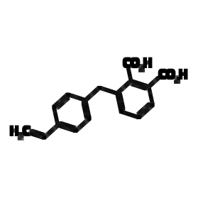 C=Cc1ccc(Cc2cccc(C(=O)O)c2C(=O)O)cc1